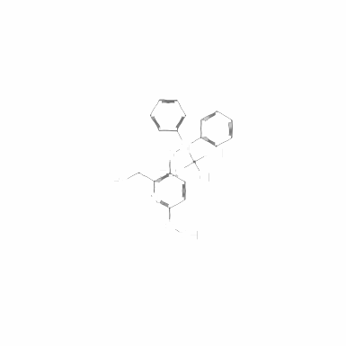 COc1ccc(O[Si](c2ccccc2)(c2ccccc2)C(C)(C)C)c(CBr)n1